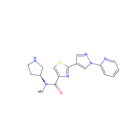 CCCN(C(=O)c1csc(-c2cnn(-c3ccccn3)c2)n1)[C@H]1CCNC1